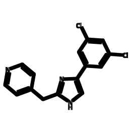 Clc1cc(Cl)cc(-c2c[nH]c(Cc3ccncc3)n2)c1